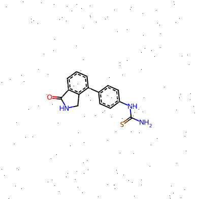 NC(=S)Nc1ccc(-c2cccc3c2CNC3=O)cc1